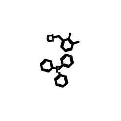 Cc1cccc(CCl)c1C.c1ccc(P(c2ccccc2)c2ccccc2)cc1